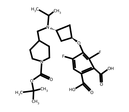 CC(C)N(CC1CCN(C(=O)OC(C)(C)C)CC1)[C@H]1C[C@H](Oc2c(F)cc(C(=O)O)c(C(=O)O)c2F)C1